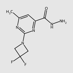 Cc1cc(C(=O)NN)nc(N2CC(F)(F)C2)n1